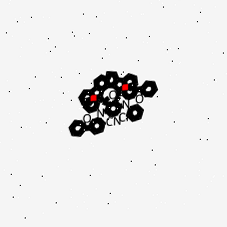 N#Cc1c(C#N)c(N(c2ccccc2)c2cccc3c2oc2ccccc23)c2c(c1N(c1ccccc1)c1cccc3c1oc1ccccc13)C1OC2C2c3ccccc3-c3ccc4ccc5c(c4c32)C1c1ccccc1-5